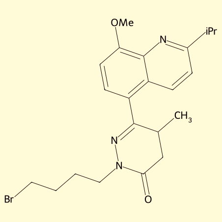 COc1ccc(C2=NN(CCCCBr)C(=O)CC2C)c2ccc(C(C)C)nc12